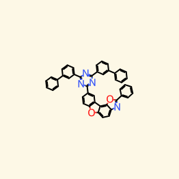 c1ccc(-c2cccc(-c3nc(-c4cccc(-c5ccccc5)c4)nc(-c4ccc5oc6ccc7nc(-c8ccccc8)oc7c6c5c4)n3)c2)cc1